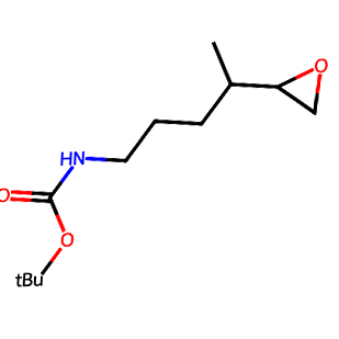 CC(CCCNC(=O)OC(C)(C)C)C1CO1